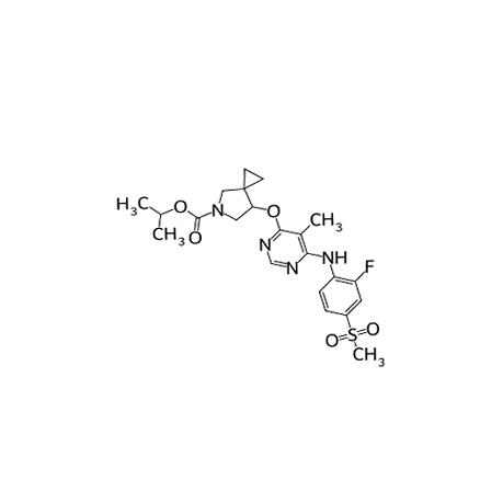 Cc1c(Nc2ccc(S(C)(=O)=O)cc2F)ncnc1OC1CN(C(=O)OC(C)C)CC12CC2